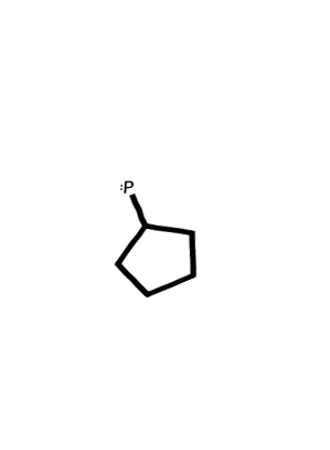 [P]C1CCCC1